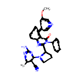 COc1cncc(-c2cccc3nc(C4CCCN4c4nc(N)nc(C)c4C#N)n(-c4ccccc4)c(=O)c23)c1